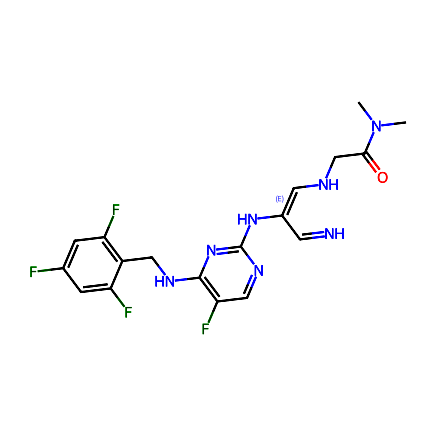 CN(C)C(=O)CN/C=C(\C=N)Nc1ncc(F)c(NCc2c(F)cc(F)cc2F)n1